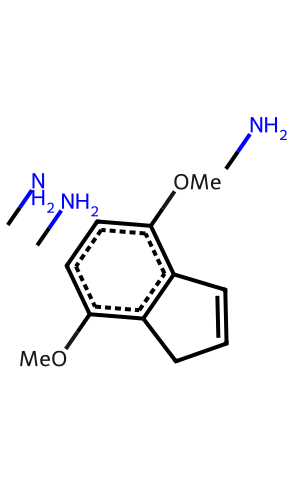 CN.CN.CN.COc1ccc(OC)c2c1C=CC2